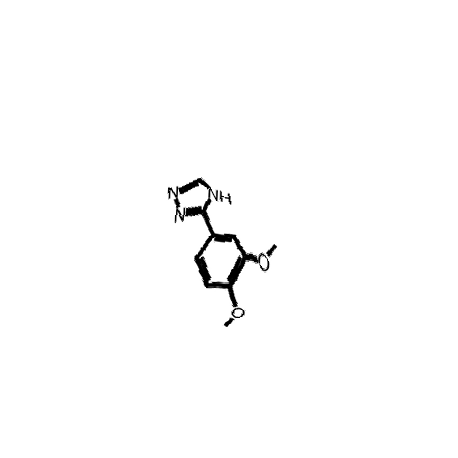 COc1ccc(-c2nnc[nH]2)cc1OC